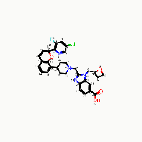 C[C@]1(c2ncc(Cl)cc2F)C=Cc2cccc(C3CCN(Cc4nc5ccc(C(=O)O)cc5n4C[C@@H]4CCO4)CC3)c2O1